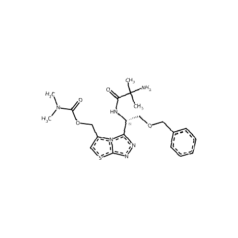 CN(C)C(=O)OCc1csc2nnc([C@@H](COCc3ccccc3)NC(=O)C(C)(C)N)n12